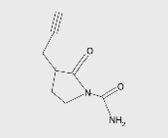 C#CC[C]1CCN(C(N)=O)C1=O